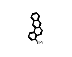 CCCc1cccc2c1ccc1cc3ccccc3cc12